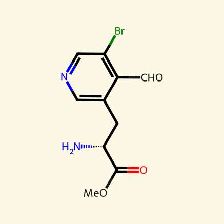 COC(=O)[C@H](N)Cc1cncc(Br)c1C=O